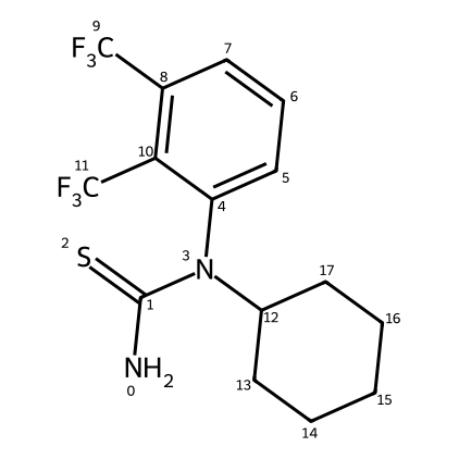 NC(=S)N(c1cccc(C(F)(F)F)c1C(F)(F)F)C1CCCCC1